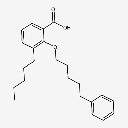 CCCCCc1cccc(C(=O)O)c1OCCCCCc1ccccc1